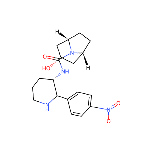 O=C(N[C@H]1CCCNC1c1ccc([N+](=O)[O-])cc1)N1[C@@H]2CC[C@H]1C[C@@H](O)C2